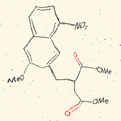 COC(=O)C(Cc1cc2c([N+](=O)[O-])cccc2cc1OC)C(=O)OC